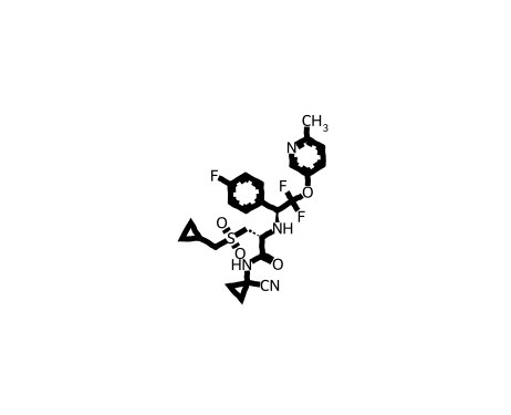 Cc1ccc(OC(F)(F)[C@@H](N[C@@H](CS(=O)(=O)CC2CC2)C(=O)NC2(C#N)CC2)c2ccc(F)cc2)cn1